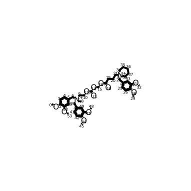 COc1ccc(C[N+](C)(CCOC(=O)OCOC(=O)CCC[N+]2(Cc3ccc(OC)c(OC)c3)CCCCC2)Cc2ccc(OC)c(OC)c2)cc1OC